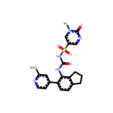 COc1cc(-c2ccc3c(c2NC(=O)NS(=O)(=O)c2cnc(=O)n(C(C)C)c2)CCC3)ccn1